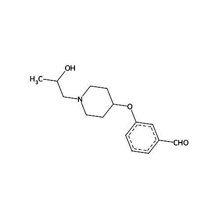 CC(O)CN1CCC(Oc2cccc(C=O)c2)CC1